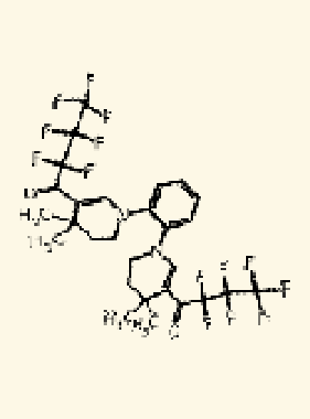 CC1(C)CCN(c2ccccc2N2C=C(C(=O)C(F)(F)C(F)(F)C(F)(F)F)C(C)(C)CC2)C=C1C(=O)C(F)(F)C(F)(F)C(F)(F)F